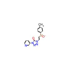 Cc1ccc([S+]([O-])/C=C/n2nnn(-c3cccnc3)c2=O)cc1